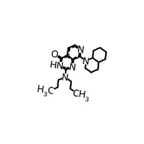 CCCN(CCC)c1nc2c(N3CCCC4CCCCC43)nccc2c(=O)[nH]1